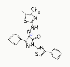 Cc1sc(N/N=C2\C(=O)N(c3nc(-c4ccccc4)cs3)N=C2c2ccccc2)nc1C(F)(F)F